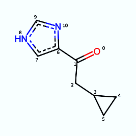 O=C(CC1CC1)c1c[nH][c]n1